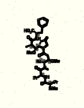 C=C1C[C@@H]([C@H](OC)[C@@H](C)C(=O)N[C@@H](Cc2ccccc2)C(=O)O)N(C(=O)C[C@@H](OC)[C@H]([C@@H](C)CC)N(C)C(=O)[C@@H](NC(=O)[C@@H](NC)C(C)C)C(C)C)C1